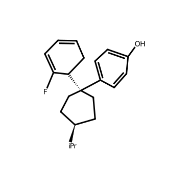 CC(C)[C@H]1CC[C@](c2ccc(O)cc2)(C2CC=CC=C2F)CC1